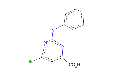 O=C(O)c1cc(Br)nc(Nc2ccccc2)n1